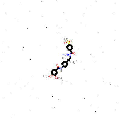 COc1ccc(C(=O)Nc2ccc(C(C)(C)CN(N)C(=O)c3ccc(S(C)(=O)=O)cc3)cc2)cc1OC